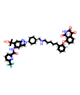 CC(C)(O)c1cc2nn([C@H]3CC[C@H](CNCCCCCc4ccccc4Oc4cccc5c4C(=O)NC(=O)C5=O)CC3)cc2cc1NC(=O)c1cccc(C(F)(F)F)n1